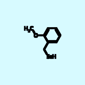 COc1ccccc1C[SeH]